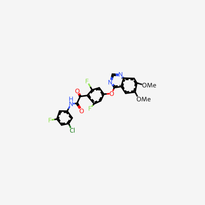 COc1cc2ncnc(Oc3cc(F)c(C(=O)C(=O)Nc4cc(F)cc(Cl)c4)c(F)c3)c2cc1OC